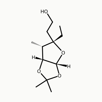 CC[C@@]1(CCO)O[C@@H]2OC(C)(C)O[C@@H]2[C@@H]1C